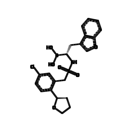 O=S(=O)(Cc1cc(Cl)ccc1C1CCCO1)N[C@@H](Cc1coc2ccccc12)B(O)O